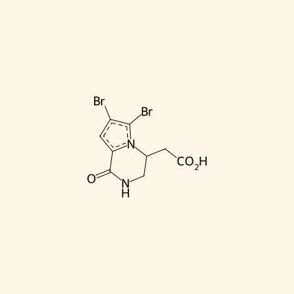 O=C(O)CC1CNC(=O)c2cc(Br)c(Br)n21